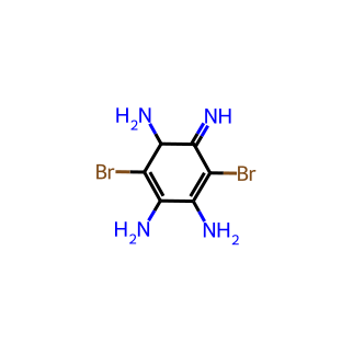 N=C1C(Br)=C(N)C(N)=C(Br)C1N